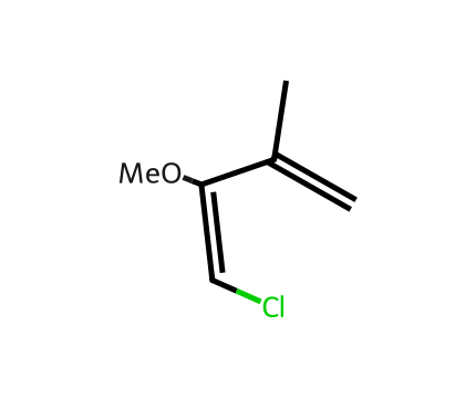 C=C(C)C(=CCl)OC